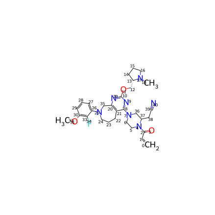 C=CC(=O)N1CCN(c2nc(OC[C@@H]3CCCN3C)nc3c2CCCN(c2cccc(OC)c2F)C3)CC1CC#N